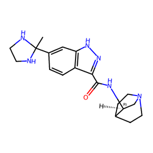 CC1(c2ccc3c(C(=O)N[C@H]4CN5CCC4CC5)n[nH]c3c2)NCCN1